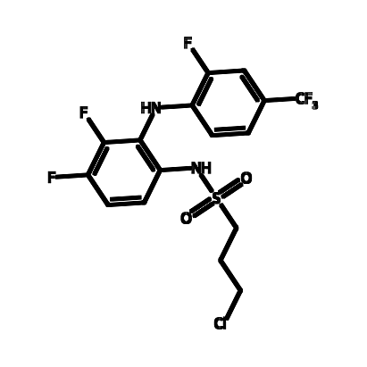 O=S(=O)(CCCCl)Nc1ccc(F)c(F)c1Nc1ccc(C(F)(F)F)cc1F